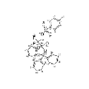 Cc1ccc(S(=O)(=O)OCC(F)(F)S(=O)(=O)OS(c2ccccc2)(c2ccccc2)c2ccccc2)cc1